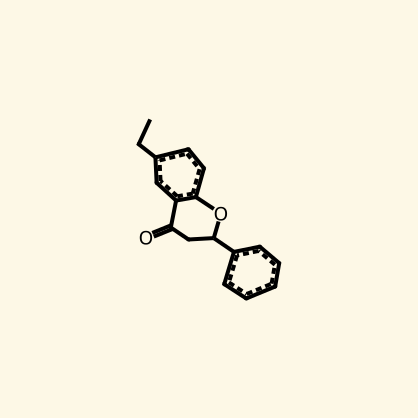 CCc1ccc2c(c1)C(=O)CC(c1ccccc1)O2